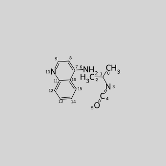 CC(C)N=C=O.Nc1ccnc2ccccc12